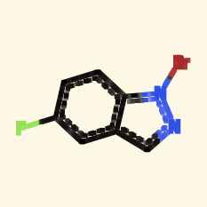 Fc1ccc2c(cnn2Br)c1